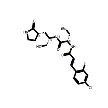 CC(C)(C)C[C@H](NC(=O)/C=C/c1ccc(Cl)cc1F)C(=O)N[C@H](CO)C[C@@H]1CCNC1=O